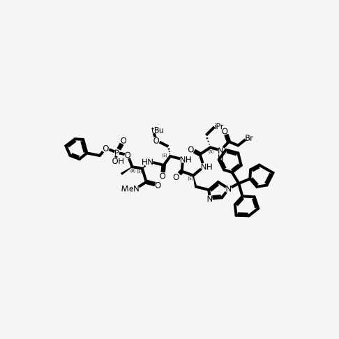 CNC(=O)[C@@H](NC(=O)[C@H](COC(C)(C)C)NC(=O)[C@H](Cc1cn(C(c2ccccc2)(c2ccccc2)c2ccccc2)cn1)NC(=O)[C@H](CC(C)C)NC(=O)CBr)[C@@H](C)OP(=O)(O)OCc1ccccc1